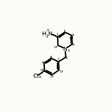 NC1=CC=CN(Cc2ccc(Cl)cc2)C1